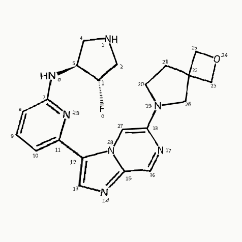 F[C@H]1CNC[C@@H]1Nc1cccc(-c2cnc3cnc(N4CCC5(COC5)C4)cn23)n1